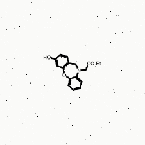 CCOC(=O)CN1Cc2ccc(O)cc2Oc2ccccc21